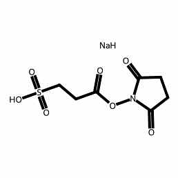 O=C(CCS(=O)(=O)O)ON1C(=O)CCC1=O.[NaH]